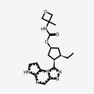 CC[C@@H]1C[C@H](OC(=O)NC2(C)COC2)C[C@@H]1c1nnc2cnc3[nH]ccc3n12